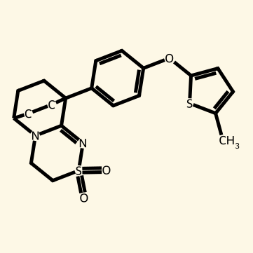 Cc1ccc(Oc2ccc(C34CCC(CC3)N3CCS(=O)(=O)N=C34)cc2)s1